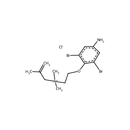 C=C(C)C[N+](C)(C)CCOc1c(Br)cc(N)cc1Br.[Cl-]